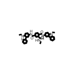 CCNC(=O)c1cc(C(=O)Nc2ccc(NCC)c(-c3ccccc3)c2)ccc1C(=O)Nc1ccc2c(c1)c1ccccc1n2CC